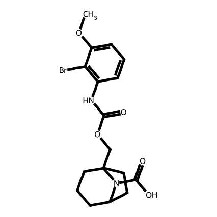 COc1cccc(NC(=O)OCC23CCCC(CC2)N3C(=O)O)c1Br